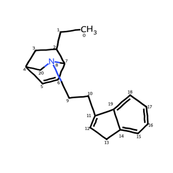 CCC1CC2C=CC1N(CCC1=CCc3ccccc31)C2